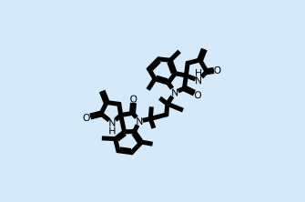 C=C1CC2(NC1=O)C(=O)N(C(C)(C)CC(C)(C)N1C(=O)C3(CC(=C)C(=O)N3)c3c(C)ccc(C)c31)c1c(C)ccc(C)c12